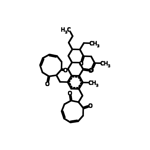 CCCC(CC1CC(=O)c2c(C)c(CC3C(=O)C/C=C\C=C/CC3=O)cc(CC3C(=O)C/C=C\C=C/CC3=O)c2C1)C(CC)C(=O)CC(C)=O